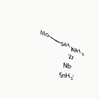 [AlH3].[Nb].[SiH3][Mo].[SnH2].[Zr]